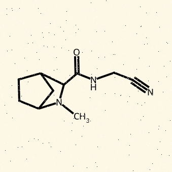 CN1C2CCC(C2)C1C(=O)NCC#N